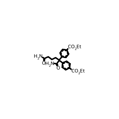 CCOC(=O)c1ccc(C(CCCC(N)=O)(C(N)=O)c2ccc(C(=O)OCC)cc2)cc1